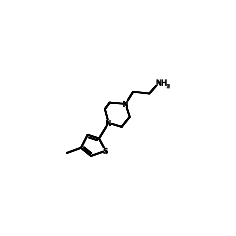 Cc1csc(N2CCN(CCN)CC2)c1